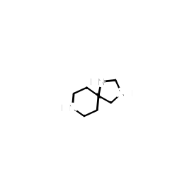 [CH]1NCNC12CCNCC2